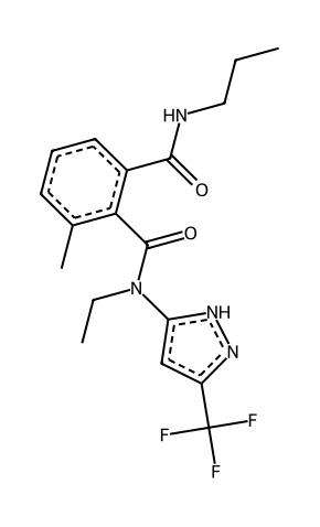 CCCNC(=O)c1cccc(C)c1C(=O)N(CC)c1cc(C(F)(F)F)n[nH]1